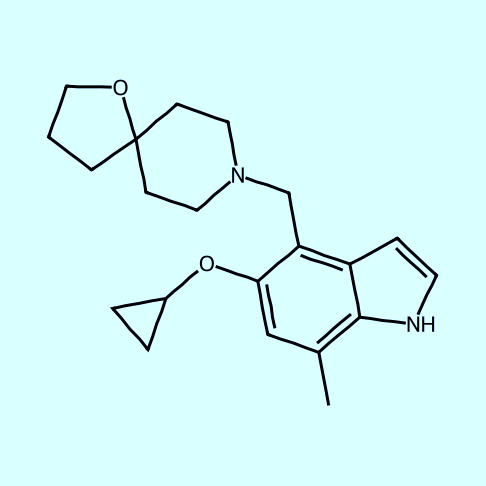 Cc1cc(OC2CC2)c(CN2CCC3(CCCO3)CC2)c2cc[nH]c12